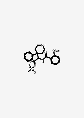 COc1ccccc1C(=O)NC(C(N)=NS(C)(=O)=O)C1(c2ccccc2)CCNCC1